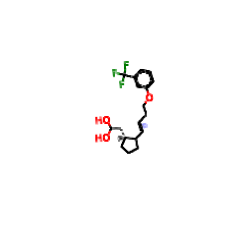 OC(O)C[C@H]1CCCC1/C=C/CCOc1cccc(C(F)(F)F)c1